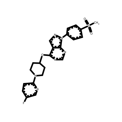 CS(=O)(=O)c1ccc(-n2ncc3c(OC4CCN(c5ccc(F)cn5)CC4)ncnc32)cc1